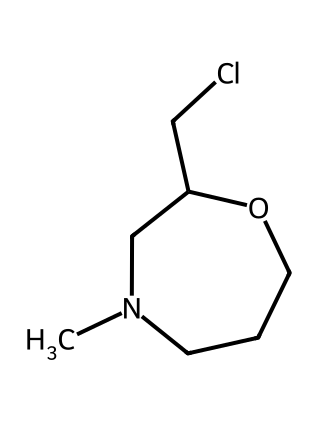 CN1CCCOC(CCl)C1